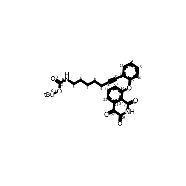 CC(C)(C)OC(=O)NCCCCCC#Cc1ccccc1Oc1cccc2c1C(=O)NC(=O)C2=O